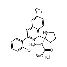 Cc1ccc2c([C@]3(N(N)C(=O)OCC(C)C)CCCN3)nc(-c3ccccc3O)nc2c1.Cl